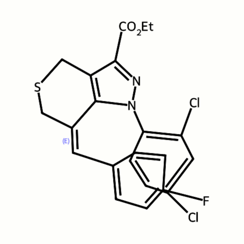 CCOC(=O)c1nn(-c2ccc(Cl)cc2Cl)c2c1CSC/C2=C/c1ccc(F)cc1